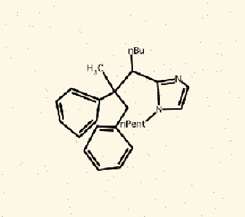 CCCCCn1ccnc1C(CCCC)C(C)(Cc1ccccc1)c1ccccc1